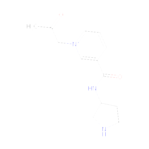 CC(=O)C[n+]1cccc(C(=O)NC2CCNC2)c1